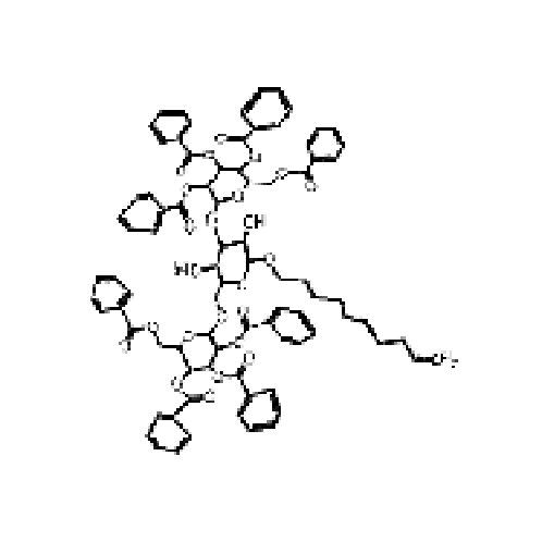 C=CCCCCCCCCOC1OC(COC2OC(COC(=O)c3ccccc3)C(OC(=O)c3ccccc3)C(OC(=O)c3ccccc3)C2OC(=O)c2ccccc2)C(O)C(OC2OC(COC(=O)c3ccccc3)C(OC(=O)c3ccccc3)C(OC(=O)c3ccccc3)C2OC(=O)c2ccccc2)C1O